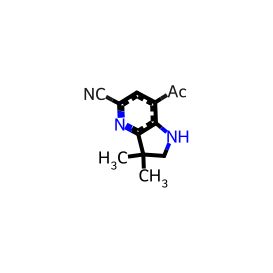 CC(=O)c1cc(C#N)nc2c1NCC2(C)C